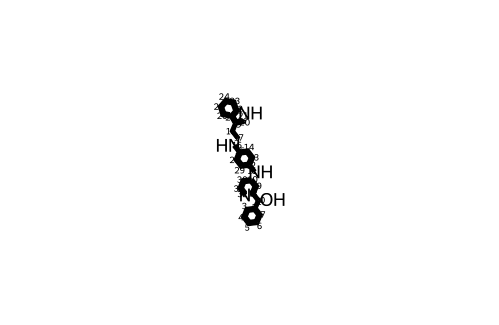 OC(c1ccccc1)c1cc(Nc2ccc(NCCc3c[nH]c4ccccc34)cc2)ccn1